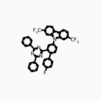 Fc1ccc(-c2ccc(-n3c4cc(C(F)(F)F)ccc4c4ccc(C(F)(F)F)cc43)cc2-c2nc(-c3ccccc3)nc(-c3ccccc3)n2)cc1